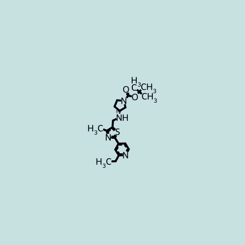 CCc1cc(-c2nc(C)c(CN[C@@H]3CCN(C(=O)OC(C)(C)C)C3)s2)ccn1